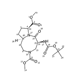 COC(=O)[C@@H]1CC[C@@H]2CCN(C(=O)OC)C[C@H](NC(=O)OC(C)(C)C)C(=O)N21